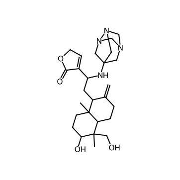 C=C1CCC2C(C)(CO)C(O)CCC2(C)C1CC(NC12CN3CN(C1)N(C3)C2)C1=CCOC1=O